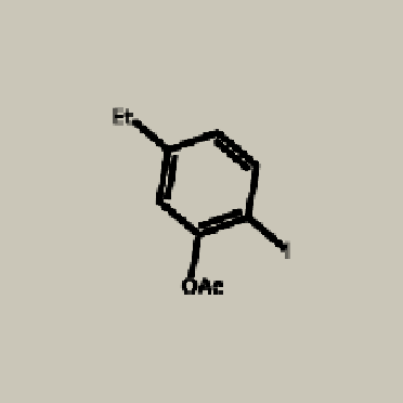 CCc1ccc(I)c(OC(C)=O)c1